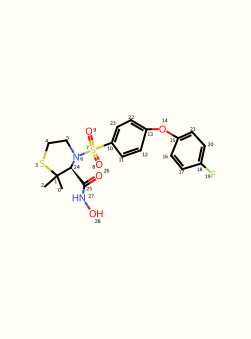 CC1(C)SCCN(S(=O)(=O)c2ccc(Oc3ccc(F)cc3)cc2)[C@H]1C(=O)NO